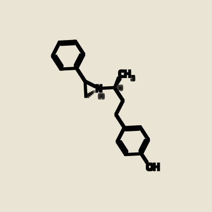 C[C@@H](CCc1ccc(O)cc1)[N@]1CC1c1ccccc1